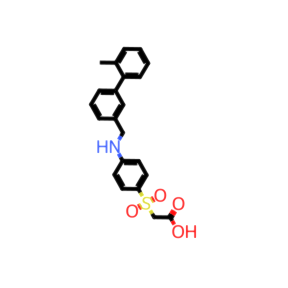 Cc1ccccc1-c1cccc(CNc2ccc(S(=O)(=O)CC(=O)O)cc2)c1